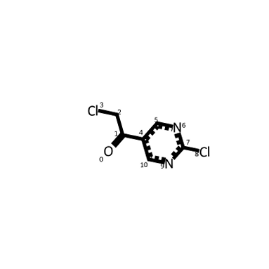 O=C(CCl)c1cnc(Cl)nc1